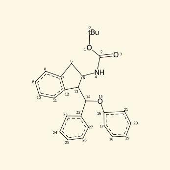 CC(C)(C)OC(=O)NC1Cc2ccccc2C1C(Oc1ccccc1)c1ccccc1